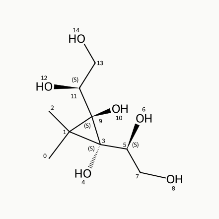 CC1(C)[C@](O)([C@@H](O)CO)[C@@]1(O)[C@@H](O)CO